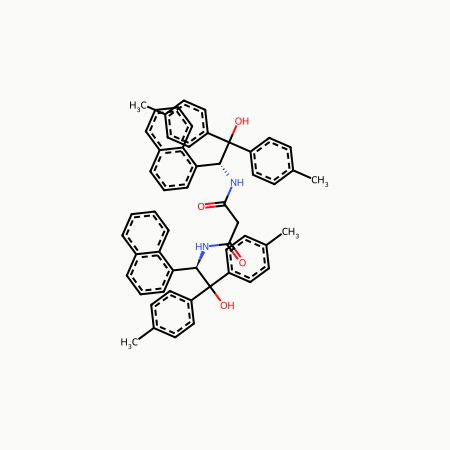 Cc1ccc(C(O)(c2ccc(C)cc2)[C@H](NC(=O)CC(=O)N[C@H](c2cccc3ccccc23)C(O)(c2ccc(C)cc2)c2ccc(C)cc2)c2cccc3ccccc23)cc1